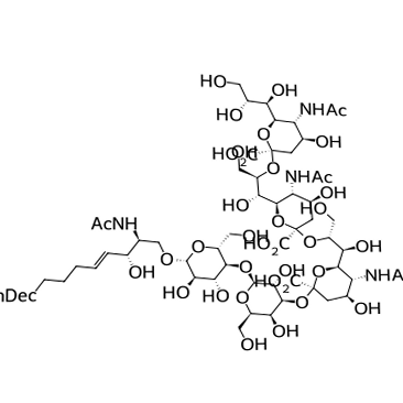 CCCCCCCCCCCCC/C=C/[C@@H](O)[C@H](CO[C@@H]1O[C@H](CO)[C@@H](O[C@@H]2O[C@H](CO)[C@H](O)[C@H](O[C@]3(C(=O)O)C[C@H](O)[C@@H](NC(C)=O)[C@H]([C@H](O)[C@@H](CO)O[C@]4(C(=O)O)C[C@H](O)[C@@H](NC(C)=O)[C@H]([C@H](O)[C@@H](CO)O[C@]5(C(=O)O)C[C@H](O)[C@@H](NC(C)=O)[C@H]([C@H](O)[C@H](O)CO)O5)O4)O3)[C@H]2O)[C@H](O)[C@H]1O)NC(C)=O